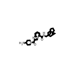 NC1CCN(C(=O)c2cn3c(C(=O)NCC45CC6CCC7(CC7C4)C6C5)cccc3n2)CC1